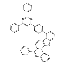 c1ccc(C2=NC(c3ccc(-c4cccc5sc6c(ccc7c(-c8ccccc8)nc8ccccc8c76)c45)cc3)NC(c3ccccc3)=N2)cc1